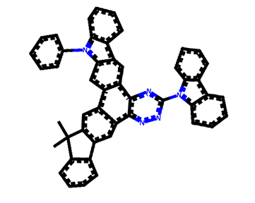 CC1(C)c2ccccc2-c2cc3c(cc21)c1cc2c(cc1c1nc(-n4c5ccccc5c5ccccc54)nnc31)c1ccccc1n2-c1ccccc1